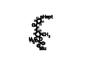 C=C(Oc1c(C)cc(/C=C/C(=O)c2ccc(CCCCCCC)cc2)cc1C)C(=O)OC(C)(C)C